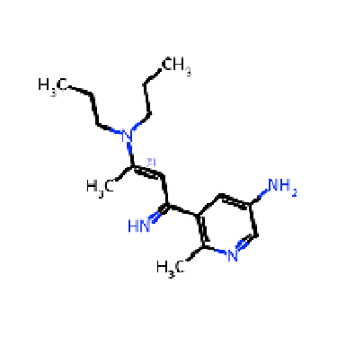 CCCN(CCC)/C(C)=C/C(=N)c1cc(N)cnc1C